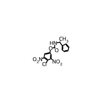 C[C@@H](NC(=O)Oc1cc([N+](=O)[O-])c(Cl)c([N+](=O)[O-])c1)c1ccccc1